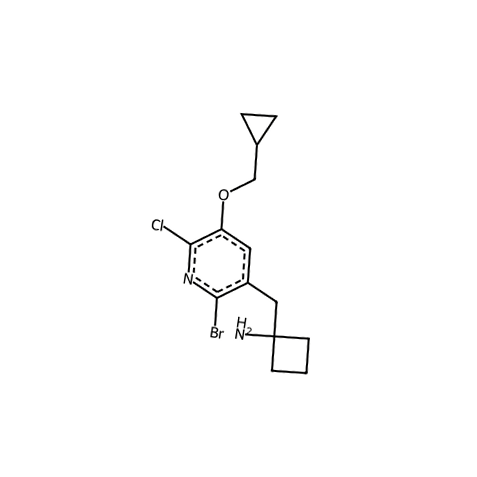 NC1(Cc2cc(OCC3CC3)c(Cl)nc2Br)CCC1